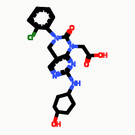 O=C(O)CN1C(=O)N(c2ccccc2Cl)Cc2cnc(NC3CCC(O)CC3)nc21